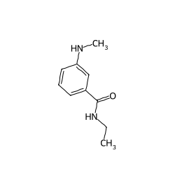 CCNC(=O)c1cccc(NC)c1